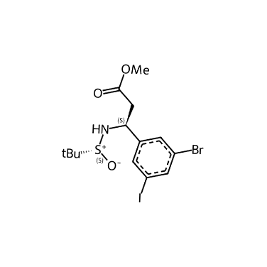 COC(=O)C[C@H](N[S@+]([O-])C(C)(C)C)c1cc(Br)cc(I)c1